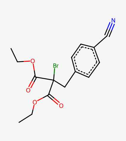 CCOC(=O)C(Br)(Cc1ccc(C#N)cc1)C(=O)OCC